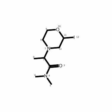 CC(C(=O)N(C)C)N1CCOC(I)C1